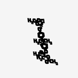 CO[C@@H](Oc1ccc(C(C)(C)c2ccc(OC[C@@H](CCl)OC(C)=O)cc2)cc1)C(C)OC(C)=O